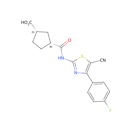 N#Cc1sc(NC(=O)[C@@H]2CC[C@H](C(=O)O)C2)nc1-c1ccc(F)cc1